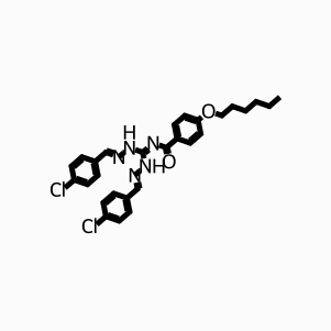 CCCCCCOc1ccc(C(=O)N=C(NN=Cc2ccc(Cl)cc2)NN=Cc2ccc(Cl)cc2)cc1